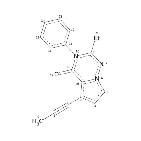 CC#Cc1ccn2nc(CC)n(-c3ccccc3)c(=O)c12